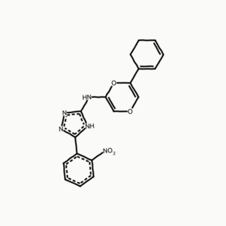 O=[N+]([O-])c1ccccc1-c1nnc(NC2=COC=C(C3=CC=CCC3)O2)[nH]1